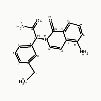 CCc1cccc([C@H](C(N)=O)n2ccc3c(N)cccc3c2=O)c1